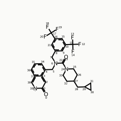 O=C1C=c2c(CN(Cc3cc(C(F)(F)F)cc(C(F)(F)F)c3)C(=O)N3CCC(CC4CC4)CC3)cccc2=C[N]1